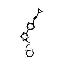 C(#CC1CC1)c1ccc(-c2ccnc(OC[C@H]3CCCCO3)n2)cc1